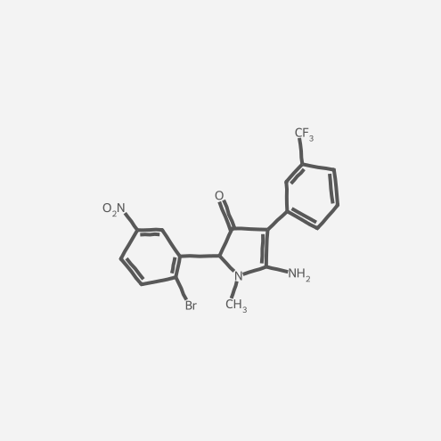 CN1C(N)=C(c2cccc(C(F)(F)F)c2)C(=O)C1c1cc([N+](=O)[O-])ccc1Br